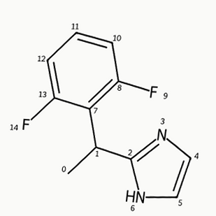 CC(c1ncc[nH]1)c1c(F)cccc1F